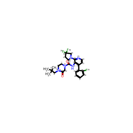 CC(C)(C)CN1CCN(C(=O)Nc2c(-c3ccccc3F)ccnc2N2CCC(F)(F)C2)CC1=O